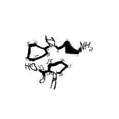 NCCCNC1CCCCC1.O=C(O)C1CCCCN1